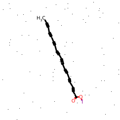 CC#CC#CC#CC#CC#CC#CC#CC#CC(=O)OI